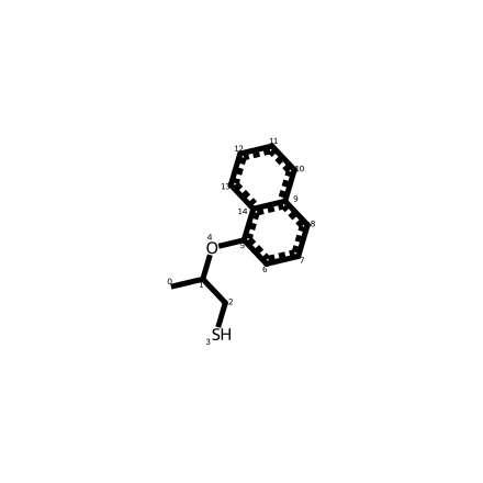 CC(CS)Oc1cccc2ccccc12